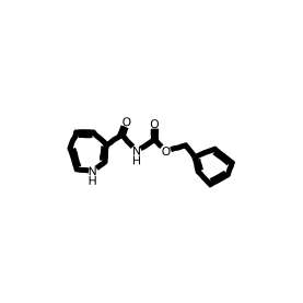 O=C(NC(=O)C1=CNC=CC=C1)OCc1ccccc1